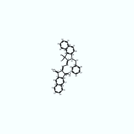 CC1(C)/C(=C\C=C2C(=O)c3cc4ccccc4cc3C2=O)N(Cc2ccccc2)c2ccc3ccccc3c21